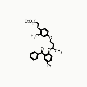 CCOC(=O)CSc1ccc(OCC[C@@H](C)Oc2ccc(C(C)C)cc2C(=O)c2ccccc2)cc1C